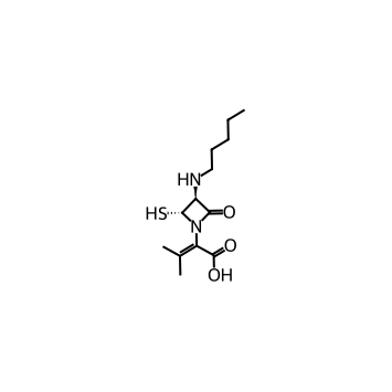 CCCCCN[C@H]1C(=O)N(C(C(=O)O)=C(C)C)[C@@H]1S